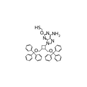 Nc1nc(OCS)nc2c1ncn2C1CC(COC(c2ccccc2)(c2ccccc2)c2ccccc2)C1COC(c1ccccc1)(c1ccccc1)c1ccccc1